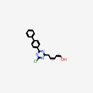 O/C=C\C=C/Cc1nc(Cl)nc(-c2ccc(-c3ccccc3)cc2)n1